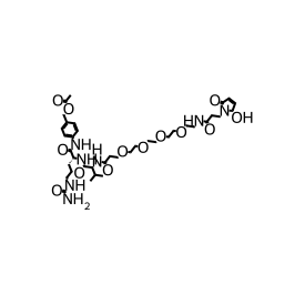 CC(=O)OCc1ccc(NC(=O)[C@@H](CCCNC(N)=O)NC(=O)[C@H](NC(=O)CCOCCOCCOCCOCCNC(=O)CCN2C(=O)C=CC2O)C(C)C)cc1